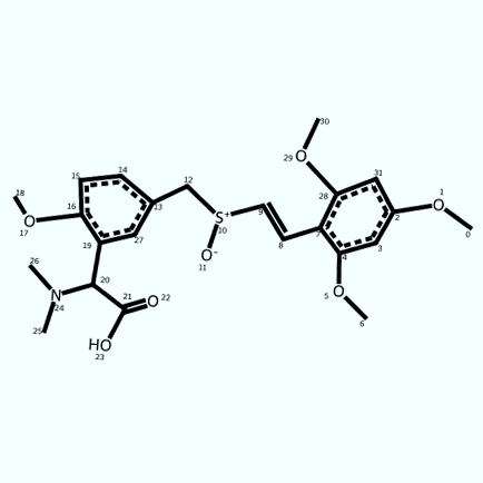 COc1cc(OC)c(C=C[S+]([O-])Cc2ccc(OC)c(C(C(=O)O)N(C)C)c2)c(OC)c1